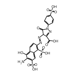 Nc1c(S(=O)(=O)O)cc2c(S(=O)(=O)O)c(/N=N/C3C(=O)N(c4ccc(S(=O)(=O)O)cc4)N=C3C(=O)O)ccc2c1O